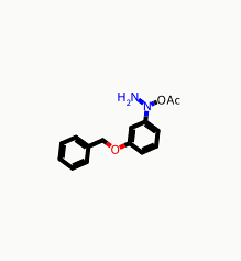 CC(=O)ON(N)c1cccc(OCc2ccccc2)c1